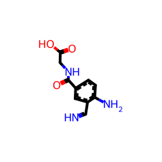 N=Cc1cc(C(=O)NCC(=O)O)ccc1N